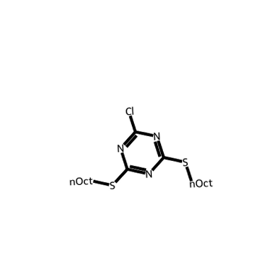 CCCCCCCCSc1nc(Cl)nc(SCCCCCCCC)n1